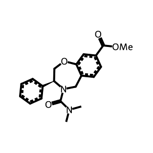 COC(=O)c1ccc2c(c1)OC[C@H](c1ccccc1)N(C(=O)N(C)C)C2